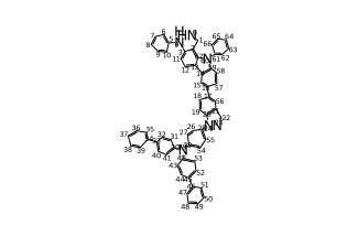 N=Cc1c(Nc2ccccc2)ccc2c3cc(-c4ccc5c(cnn5-c5ccc(N(c6ccc(-c7ccccc7)cc6)c6ccc(-c7ccccc7)cc6)cc5)c4)ccc3n(-c3ccccc3)c12